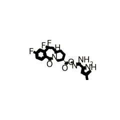 Cc1c[nH]c(/C(N)=N/OC(=O)[C@H]2CC[C@H]3CC(F)(F)c4cc(F)ccc4C(=O)N3C2)c1